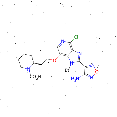 CCn1c(-c2nonc2N)nc2c(Cl)ncc(OCC[C@@H]3CCCCN3C(=O)O)c21